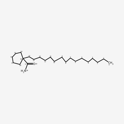 CCCCCCCCCCCCCCCCC1(C(N)=O)CCCCC1